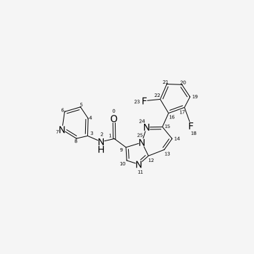 O=C(Nc1cccnc1)c1cnc2ccc(-c3c(F)cccc3F)nn12